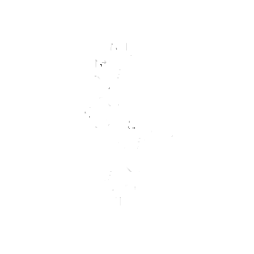 Nc1ccc(-c2cncc(-c3cc(-c4ccc(C(F)(F)F)cc4)cc(C4CC4)n3)c2)cn1